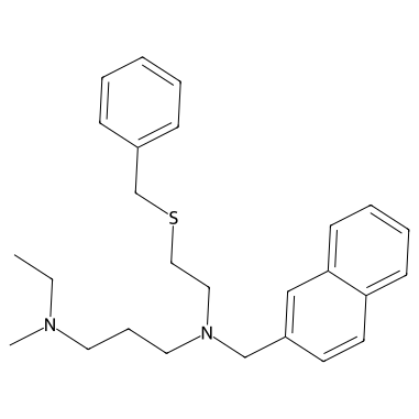 CCN(C)CCCN(CCSCc1ccccc1)Cc1ccc2ccccc2c1